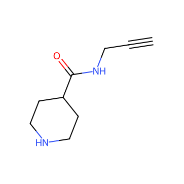 C#CCNC(=O)C1CCNCC1